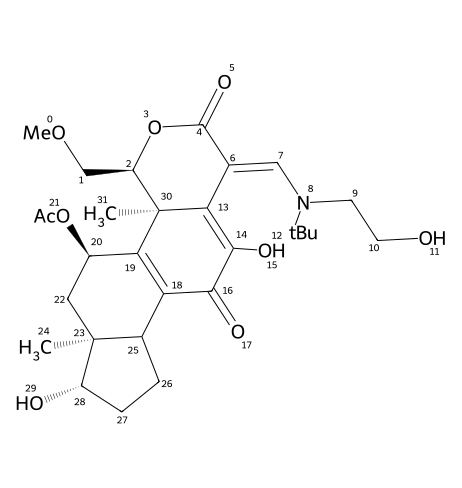 COC[C@H]1OC(=O)/C(=C/N(CCO)C(C)(C)C)C2=C(O)C(=O)C3=C([C@H](OC(C)=O)C[C@@]4(C)C3CC[C@@H]4O)[C@]21C